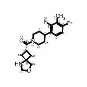 Cc1c(F)ccc(C2CCN(C(=O)[C@H]3C[C@]4(COCN4)C3)CC2)c1F